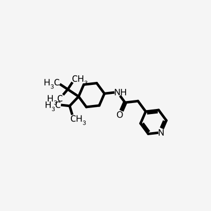 CC(C)C1(C(C)(C)C)CCC(NC(=O)Cc2ccncc2)CC1